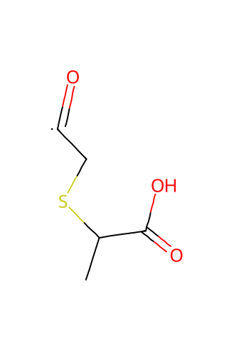 CC(SC[C]=O)C(=O)O